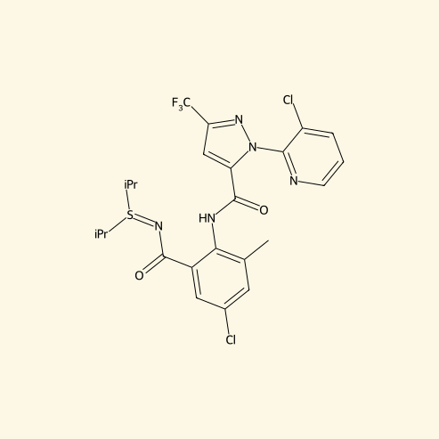 Cc1cc(Cl)cc(C(=O)N=S(C(C)C)C(C)C)c1NC(=O)c1cc(C(F)(F)F)nn1-c1ncccc1Cl